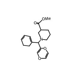 COC(=O)C1CCCN(C(C2=CC=CCC2)C2=COC=CO2)C1